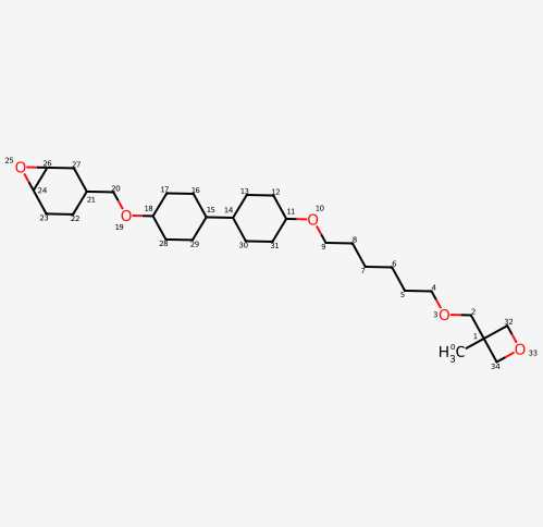 CC1(COCCCCCCOC2CCC(C3CCC(OCC4CCC5OC5C4)CC3)CC2)COC1